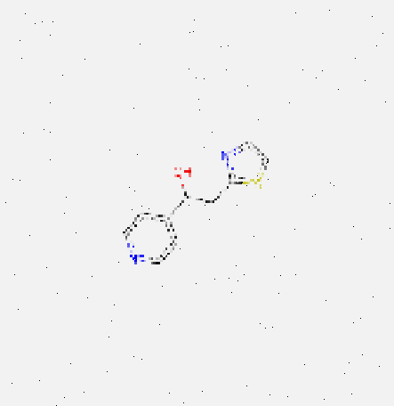 OC(Cc1nccs1)c1ccncc1